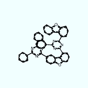 c1ccc(-c2nc(-c3ccccc3)nc(-c3ccc4oc5cccc(-c6nc(-c7ccccc7)nc(-c7cccc8oc9ccccc9c78)n6)c5c4c3)n2)cc1